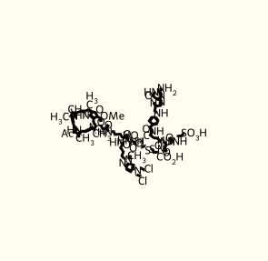 COC(=O)C1C(=O)c2c(C)c3cc4nc(cc5[nH]c(cc6nc(c1c2[nH]3)[C@@H](CCC(=O)NCCCC(NC(=O)CCCc1nc2ccc(N(CCCl)CCCl)cc2n1C)C(=O)NNC(=O)OCCSSC[C@H](NC(=O)[C@H](CC(=O)NCCS(=O)(=O)O)NC(=O)CC[C@H](NC(=O)c1ccc(NCc2cnc3nc(N)[nH]c(=O)c3n2)cc1)C(=O)O)C(=O)O)[C@@H]6C)c(C)c5C(C)=O)[C@H](C)[C@H]4C